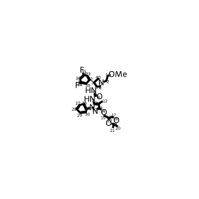 COCCN1C[C@@H](NC(=O)Nc2c(C)c(OCC3COC(C)(C)O3)nn2-c2ccccc2)[C@H](c2cc(F)cc(F)c2)C1